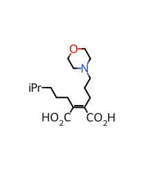 CC(C)CCCC(C(=O)O)=C(CCCN1CCOCC1)C(=O)O